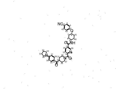 N#Cc1ccc(O[C@H]2CC[C@@H](NC(=O)c3ccc(C(=O)N4CCC(C(=O)c5ccc(N6CCCC6)cc5)CC4)nc3)CC2)cc1